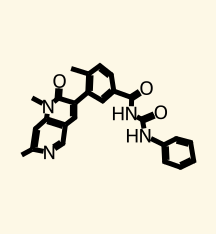 Cc1cc2c(cn1)cc(-c1cc(C(=O)NC(=O)Nc3ccccc3)ccc1C)c(=O)n2C